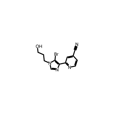 N#Cc1ccnc(-c2ncn(CCCO)c2Br)c1